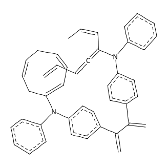 C=CC=C=C(/C=C\C)N(c1ccccc1)c1ccc(C(=C)C(=C)c2ccc(N(/C3=C/C=C\C/C=C\C3)c3ccccc3)cc2)cc1